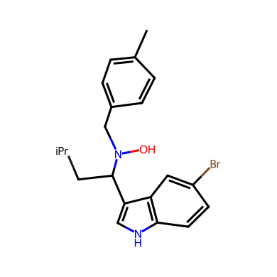 Cc1ccc(CN(O)C(CC(C)C)c2c[nH]c3ccc(Br)cc23)cc1